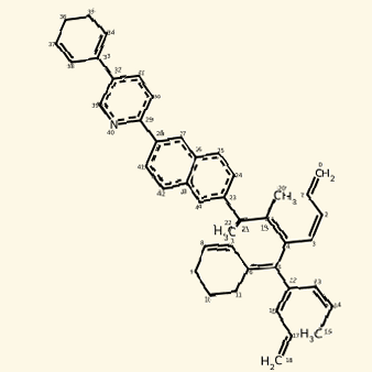 C=C\C=C/C(C(=C1\C=CCCC1)/C(/C=C\C)=C/C=C)=C(\C)C(C)c1ccc2cc(-c3ccc(C4=CCCC=C4)cn3)ccc2c1